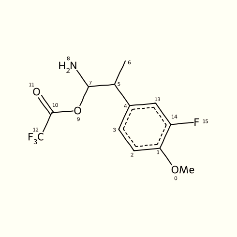 COc1ccc(C(C)C(N)OC(=O)C(F)(F)F)cc1F